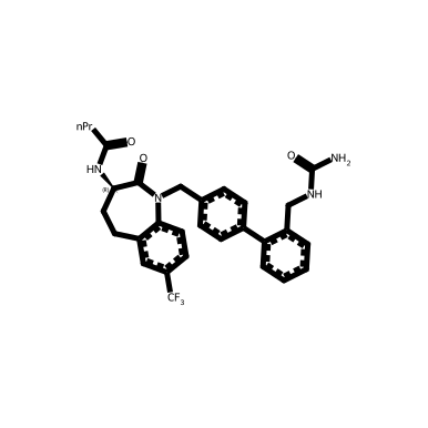 CCCC(=O)N[C@@H]1CCc2cc(C(F)(F)F)ccc2N(Cc2ccc(-c3ccccc3CNC(N)=O)cc2)C1=O